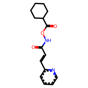 O=C(C=Cc1ccccn1)NOC(=O)C1CCCCC1